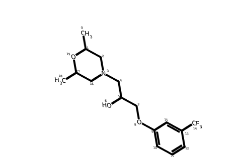 CC1CN(CC(O)COc2cccc(C(F)(F)F)c2)CC(C)O1